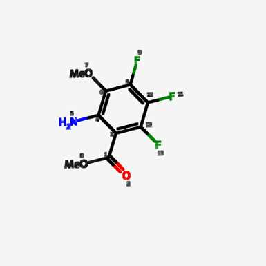 COC(=O)c1c(N)c(OC)c(F)c(F)c1F